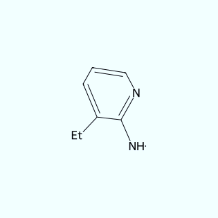 CCc1cccnc1[NH]